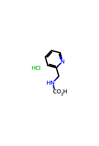 Cl.O=C(O)NCc1ccccn1